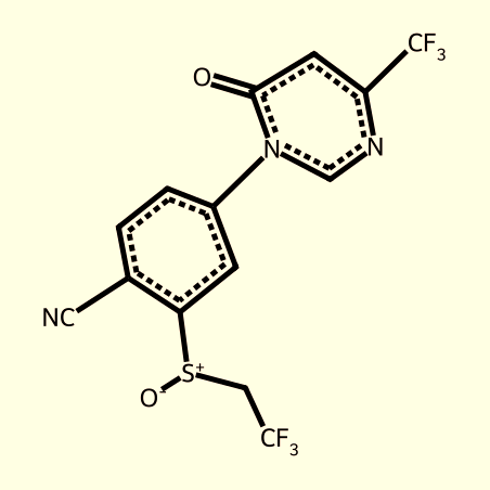 N#Cc1ccc(-n2cnc(C(F)(F)F)cc2=O)cc1[S+]([O-])CC(F)(F)F